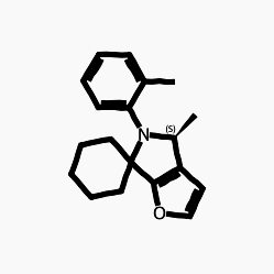 Cc1ccccc1N1[C@@H](C)c2ccoc2C12CCCCC2